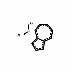 CC(C)(C)OC=O.c1ccc2cccc-2cc1